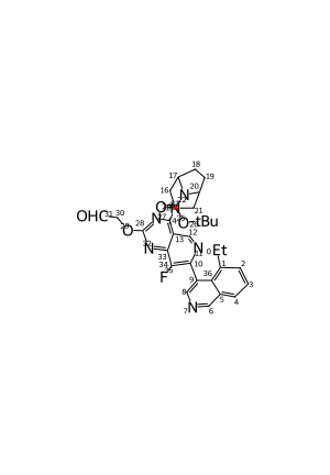 CCc1cccc2cncc(-c3ncc4c(N5CC6CCC(C5)N6C(=O)OC(C)(C)C)nc(OCC=O)nc4c3F)c12